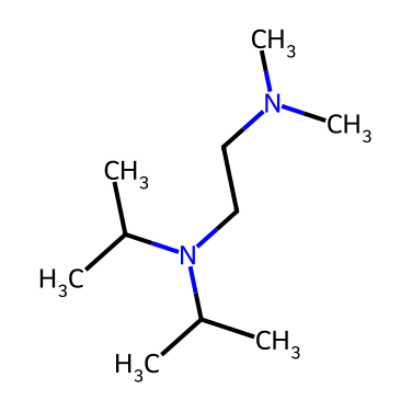 CC(C)N(CCN(C)C)C(C)C